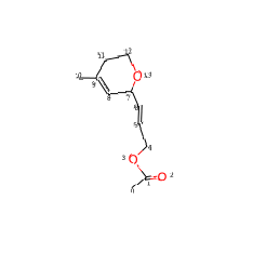 CC(=O)OCC=CC1C=C(C)CCO1